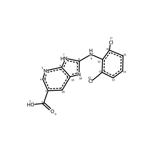 O=C(O)c1cnc2[nH]c(Nc3c(Cl)cccc3Cl)nc2c1